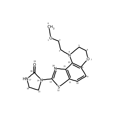 COCCN1CCOc2ccc3sc(N4CCNC4=O)nc3c21